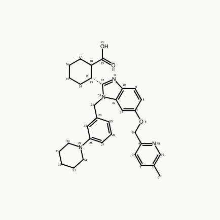 Cc1ccc(COc2ccc3nc([C@@H]4CCCCC4C(=O)O)n(Cc4cccc(N5CCCCC5)c4)c3c2)nc1